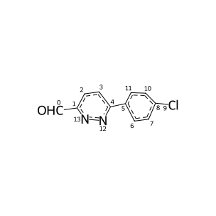 O=Cc1ccc(-c2ccc(Cl)cc2)nn1